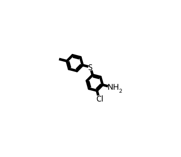 Cc1ccc(Sc2ccc(Cl)c(N)c2)cc1